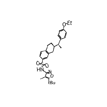 CCOc1ccc([C@@H](C)C2CCc3ccc(S(=O)(=O)Nc4noc(C(C)(C)C)c4C)cc3C2)cc1